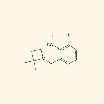 CNc1c(F)cccc1CN1CCC1(C)C